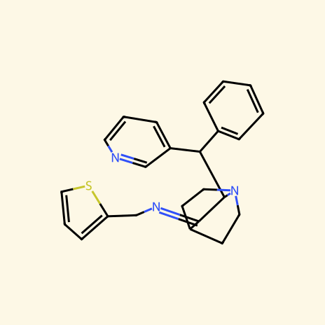 c1ccc(C(c2cccnc2)C2C(=NCc3cccs3)C3CCN2CC3)cc1